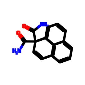 NC(=O)C1(C(N)=O)C=Cc2cccc3cccc1c23